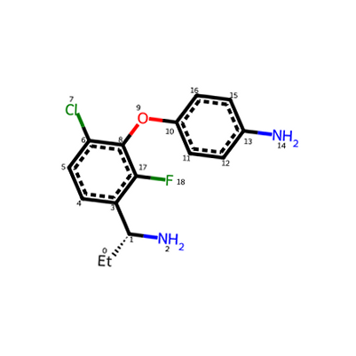 CC[C@@H](N)c1ccc(Cl)c(Oc2ccc(N)cc2)c1F